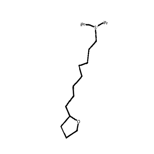 CC(C)[S+](CCCCCCCCC1CCCO1)C(C)C